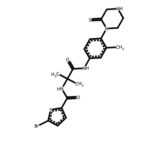 Cc1cc(NC(=O)C(C)(C)NC(=O)c2ccc(Br)s2)ccc1N1CCNCC1=S